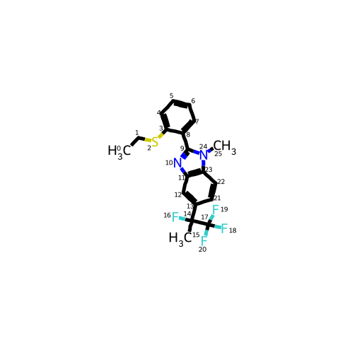 CCSc1ccccc1-c1nc2cc(C(C)(F)C(F)(F)F)ccc2n1C